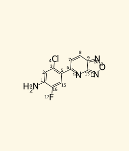 Nc1cc(Cl)c(-c2ccc3nonc3n2)cc1F